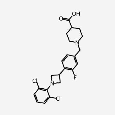 O=C(O)C1CCN(Cc2ccc(C3CN(c4c(Cl)cccc4Cl)C3)c(F)c2)CC1